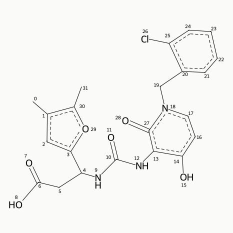 Cc1cc(C(CC(=O)O)NC(=O)Nc2c(O)ccn(Cc3ccccc3Cl)c2=O)oc1C